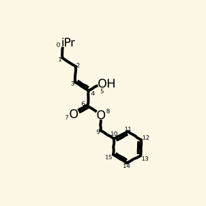 CC(C)CCC=C(O)C(=O)OCc1ccccc1